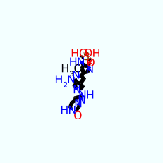 Cc1c(-c2cc3cc(Nc4cc5n(n4)CC(=O)NCC5)ncc3c(N)n2)cnc2c1NCS(O)(O)CO2